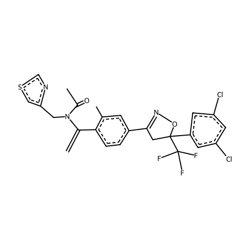 C=C(c1ccc(C2=NOC(c3cc(Cl)cc(Cl)c3)(C(F)(F)F)C2)cc1C)N(Cc1cscn1)C(C)=O